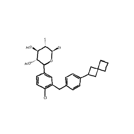 CC[C@H]1OC(c2ccc(Cl)c(Cc3ccc(C4CC5(CCC5)C4)cc3)c2)[C@H](OC(C)=O)[C@@H](OC(C)=O)[C@@H]1C